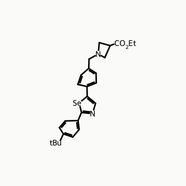 CCOC(=O)C1CN(Cc2ccc(-c3cnc(-c4ccc(C(C)(C)C)cc4)[se]3)cc2)C1